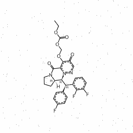 CCOC(=O)OCOc1c2n(ncc1=O)[C@@H]([C@H](c1ccc(F)cc1)c1cccc(F)c1F)[C@H]1CCCN1C2=O